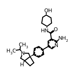 CC(C)N1C[C@H]2CC[C@@]2(c2ccc(-c3cnc(N)c(C(=O)N[C@H]4CC[C@H](O)CC4)c3)cc2)C1